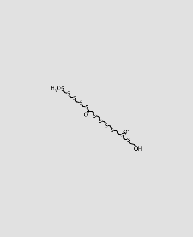 CSCSCSCSCSC(=O)CSCSCSCSCC[S+]([O-])CSCCO